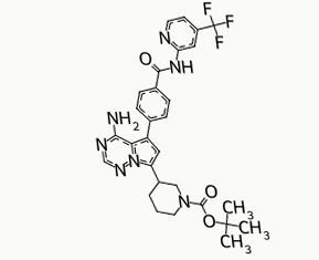 CC(C)(C)OC(=O)N1CCCC(c2cc(-c3ccc(C(=O)Nc4cc(C(F)(F)F)ccn4)cc3)c3c(N)ncnn23)C1